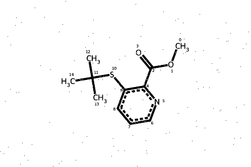 COC(=O)c1ncccc1SC(C)(C)C